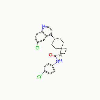 O=C(Nc1ccc(Cl)cc1)[C@H]1CC[C@]12CC[C@H](c1ccnc3ccc(Cl)cc31)CC2